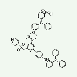 C[C@H]1COCCN1c1cc(CS(=O)(=O)c2ccncc2)nc(-c2ccc(N)cc2)n1.[Cl][Pd][Cl].c1ccc(P(c2ccccc2)c2ccccc2)cc1.c1ccc(P(c2ccccc2)c2ccccc2)cc1